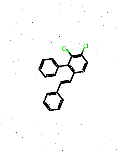 Clc1ccc(C=Cc2ccccc2)c(-c2ccccc2)c1Cl